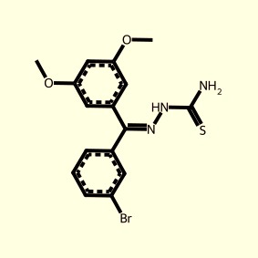 COc1cc(OC)cc(/C(=N\NC(N)=S)c2cccc(Br)c2)c1